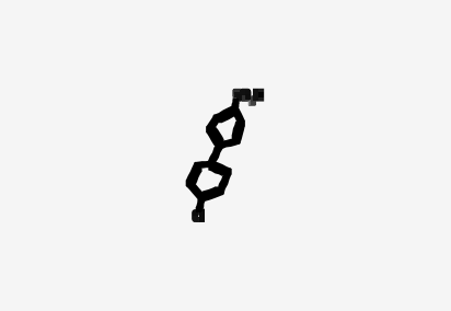 O=S(=O)(O)c1ccc(-c2ccc(Cl)cc2)cc1